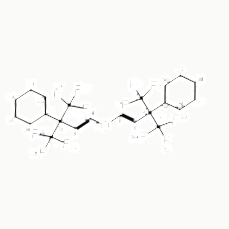 FC(F)(F)C(C=COC=CC(C1CCCCC1)(C(F)(F)F)C(F)(F)F)(C1CCCCC1)C(F)(F)F